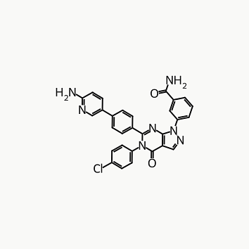 NC(=O)c1cccc(-n2ncc3c(=O)n(-c4ccc(Cl)cc4)c(-c4ccc(-c5ccc(N)nc5)cc4)nc32)c1